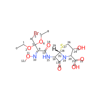 CCOC(CBr)(OCC)C(=NOC)C(=O)NC1C(=O)N2C(C(=O)O)C(O)CS[C@@H]12